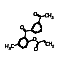 C=CC(=O)Oc1ccc(C)cc1C(=O)c1cccc(C(C)=O)c1